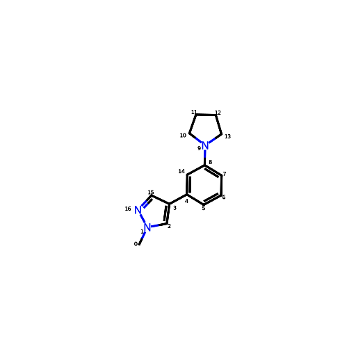 Cn1cc(-c2cccc(N3CCCC3)c2)cn1